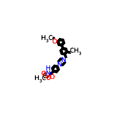 CCOc1cccc(-c2ccc(CN3CCN(c4ccc(C(=O)NS(C)(=O)=O)cc4)CC3)c(CC)c2)c1